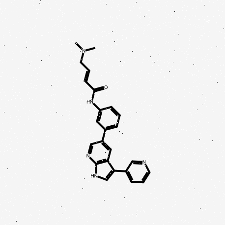 CN(C)C/C=C/C(=O)Nc1cccc(-c2cnc3[nH]cc(-c4cccnc4)c3c2)c1